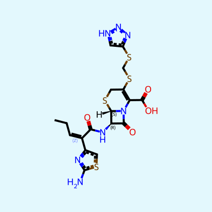 CC/C=C(\C(=O)N[C@@H]1C(=O)N2C(C(=O)O)=C(SCSc3c[nH]nn3)CS[C@@H]12)c1csc(N)n1